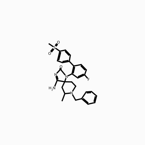 CC1CC2(CCN1Cc1ccccc1)C(N)=NC(=O)N2c1cc(F)ccc1-c1ccc(S(C)(=O)=O)cc1